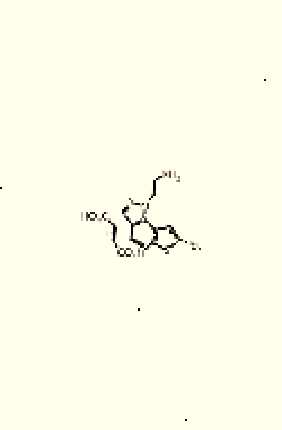 CCc1cc2c(ccc3cnn(CCN)c32)s1.O=C(O)/C=C/C(=O)O